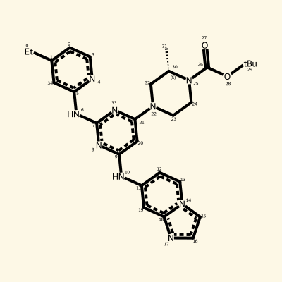 CCc1ccnc(Nc2nc(Nc3ccn4ccnc4c3)cc(N3CCN(C(=O)OC(C)(C)C)[C@@H](C)C3)n2)c1